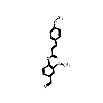 COc1ccc(/C=C/C(=O)Oc2ccc(C=O)cc2OC)cc1